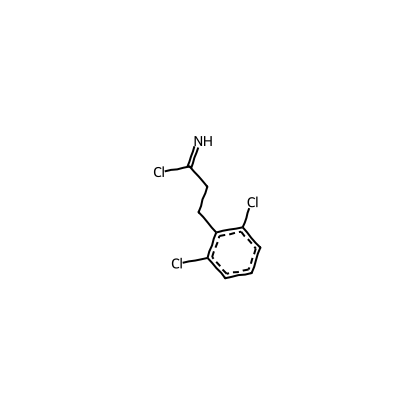 N=C(Cl)CCc1c(Cl)cccc1Cl